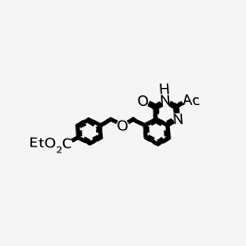 CCOC(=O)c1ccc(COCc2cccc3nc(C(C)=O)[nH]c(=O)c23)cc1